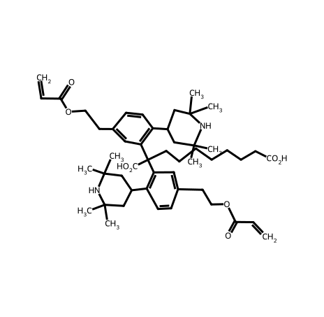 C=CC(=O)OCCc1ccc(C2CC(C)(C)NC(C)(C)C2)c(C(CCCCCCCC(=O)O)(C(=O)O)c2cc(CCOC(=O)C=C)ccc2C2CC(C)(C)NC(C)(C)C2)c1